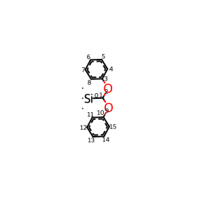 [Si]C(Oc1ccccc1)Oc1ccccc1